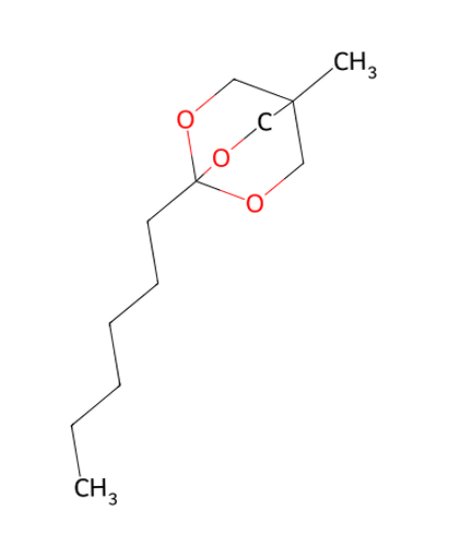 CCCCCCC12OCC(C)(CO1)CO2